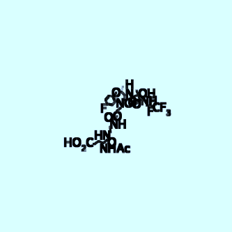 CC(=O)N[C@@H](CCC(=O)O)C(=O)NCCNC(=O)OCCN1C(=O)[C@@H](NC(=O)C(C)(O)C(=O)NCC(F)(F)C(F)(F)F)[C@@H](C)Oc2ccc(F)cc21